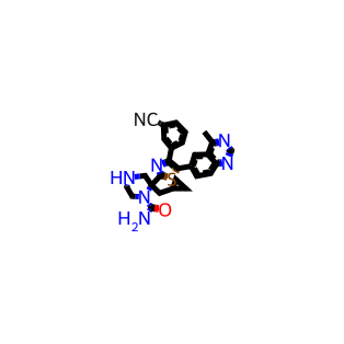 Cc1ncnc2ccc(-c3sc(C4(CC5CC5)CNCCN4C(N)=O)nc3-c3cccc(C#N)c3)cc12